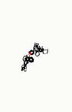 CCOC(=O)N1CCC2(CC1)C(=O)N(C[C@H]1CC[C@H](NC(=O)c3cc(Cl)cnc3C(F)F)CC1)c1ccccc12